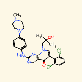 CN1CCN(c2ccc(Nc3ncc4c(=O)c(-c5c(Cl)cccc5Cl)cn(CC(C)(C)O)c4n3)cc2)CC1